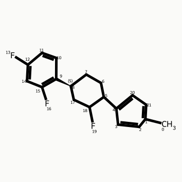 Cc1ccc(C2CC[C@H](c3ccc(F)cc3F)CC2F)cc1